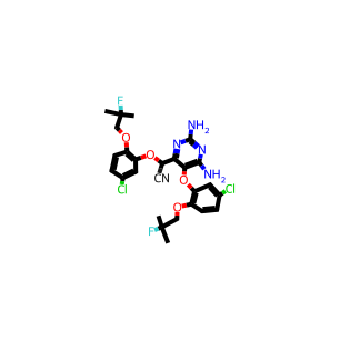 CC(C)(F)COc1ccc(Cl)cc1Oc1c(N)nc(N)nc1C(C#N)Oc1cc(Cl)ccc1OCC(C)(C)F